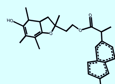 COc1ccc2cc(C(C)C(=O)OCCC3(C)CC4C(=C(C)C(C)=C(O)C4C)O3)ccc2c1